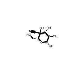 N#C[C@]1(O)[C@H](O)[C@@H](O)[C@H](O)O[C@@H]1CO